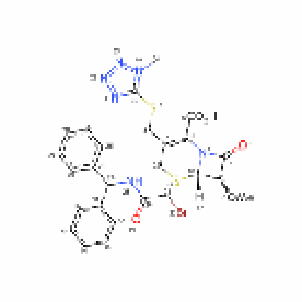 CO[C@@H]1C(=O)N2C(C(=O)O)=C(CSc3nnnn3C)CS[C@@H]12.O=C(CBr)NC(c1ccccc1)c1ccccc1